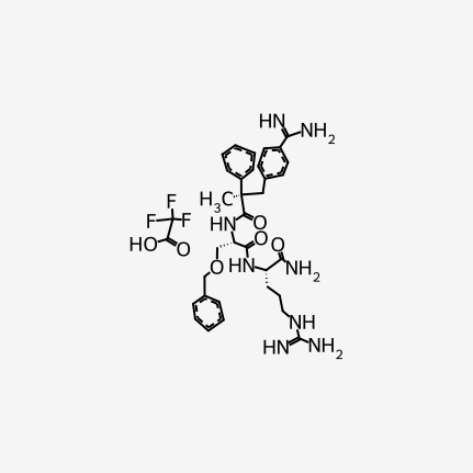 C[C@](Cc1ccc(C(=N)N)cc1)(C(=O)N[C@@H](COCc1ccccc1)C(=O)N[C@@H](CCCNC(=N)N)C(N)=O)c1ccccc1.O=C(O)C(F)(F)F